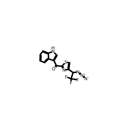 [N-]=[N+]=NC(c1csc(C(=O)c2c[nH]c3ccccc23)n1)C(F)(F)F